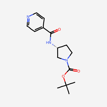 CC(C)(C)OC(=O)N1CC[C@@H](NC(=O)c2ccncc2)C1